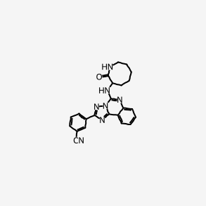 N#Cc1cccc(-c2nc3c4ccccc4nc(NC4CCCCCNC4=O)n3n2)c1